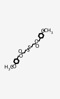 COc1ccc(COC(=O)CCSSCCC(=O)OCc2ccc(OC)cc2)cc1